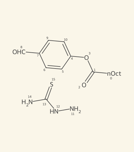 CCCCCCCCC(=O)Oc1ccc(C=O)cc1.NNC(N)=S